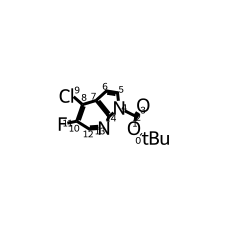 CC(C)(C)OC(=O)n1ccc2c(Cl)c(F)cnc21